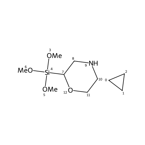 C1CC1.CO[Si](OC)(OC)C1CNCCO1